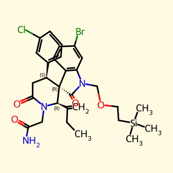 C=C(CC)[C@H]1N(CC(N)=O)C(=O)C[C@@H](c2cccc(Cl)c2)[C@]12C(=O)N(COCC[Si](C)(C)C)c1cc(Br)ccc12